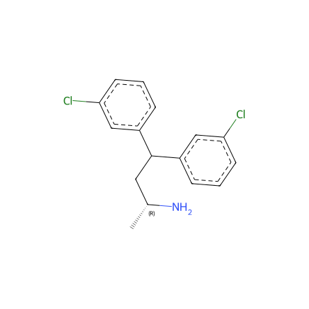 C[C@@H](N)CC(c1cccc(Cl)c1)c1cccc(Cl)c1